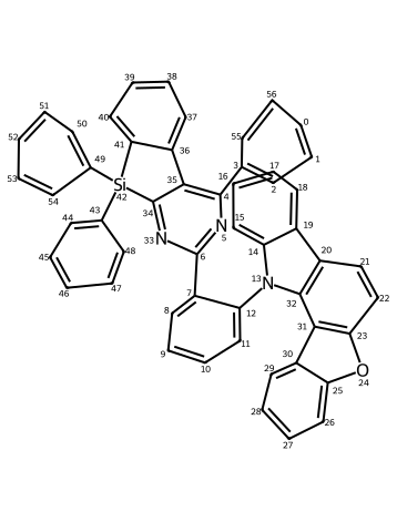 c1ccc(-c2nc(-c3ccccc3-n3c4ccccc4c4ccc5oc6ccccc6c5c43)nc3c2-c2ccccc2[Si]3(c2ccccc2)c2ccccc2)cc1